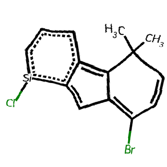 CC1(C)C=CC(Br)=C2C=c3c(ccc[si]3Cl)=C21